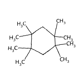 CC1(C)CC(C)(C)C(C)(C)CC1(C)C